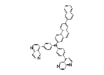 c1ccc2cc(-c3ccc4c(ccc5cc(N(c6ccc(-c7ccnc8ccncc78)cc6)c6ccc(-c7ccnc8ccncc78)cc6)ccc54)c3)ccc2c1